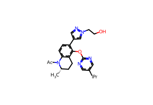 CC(=O)N1c2ccc(-c3cnn(CCO)c3)c(Oc3ncc(C(C)C)cn3)c2CC[C@@H]1C